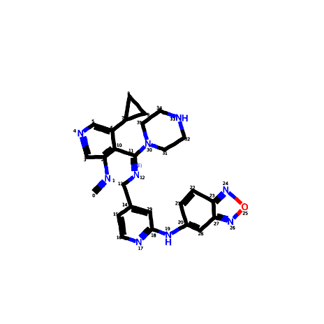 C=Nc1cncc(C2CC2)c1/C(=N\Cc1ccnc(Nc2ccc3nonc3c2)c1)N1CCNCC1